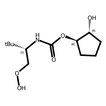 CC(C)(C)[C@@H](COO)NC(=O)O[C@@H]1CCC[C@H]1O